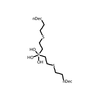 CCCCCCCCCCCCSCCP(O)(O)(O)CCSCCCCCCCCCCCC